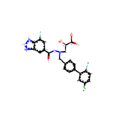 O=C(NN(Cc1ccc(-c2cc(Cl)ccc2F)cc1)C[C@@H](O)C(=O)O)c1cc(F)c2nn[nH]c2c1